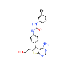 CCc1cccc(NC(=O)Nc2ccc(-c3c(CCO)sc4ncnc(N)c34)cc2)c1